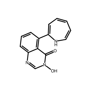 O=c1c2c(C3=CC=CC=CN3)cccc2ncn1O